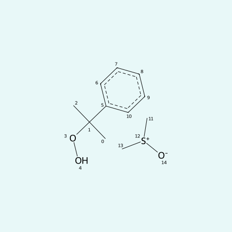 CC(C)(OO)c1ccccc1.C[S+](C)[O-]